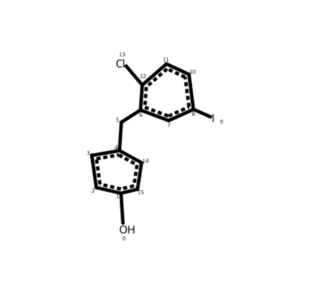 Oc1ccc(Cc2cc(I)ccc2Cl)cc1